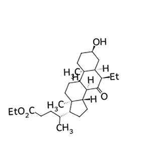 CCOC(=O)CCC(C)[C@H]1CC[C@H]2[C@@H]3C(=O)[C@H](CC)[C@@H]4C[C@H](O)CC[C@]4(C)[C@H]3CC[C@]12C